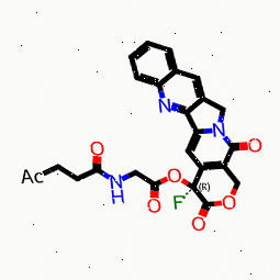 CC(=O)CCC(=O)NCC(=O)O[C@]1(F)C(=O)OCc2c1cc1n(c2=O)Cc2cc3ccccc3nc2-1